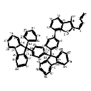 C=C/C=C\c1sc2c(-c3ccc(C4(c5ccc(C6(c7ccccc7)c7ccccc7-c7ccccc76)cc5)c5ccccc5-c5ccccc54)cc3)cccc2c1C